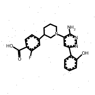 Nc1nnc(-c2ccccc2O)cc1N1CCCC(c2ccc(C(=O)O)c(F)c2)C1